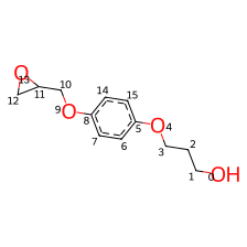 OCCCOc1ccc(OCC2CO2)cc1